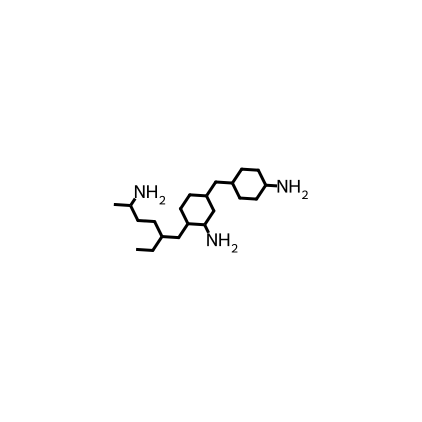 CCC(CCC(C)N)CC1CCC(CC2CCC(N)CC2)CC1N